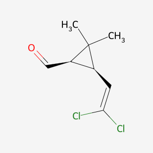 CC1(C)[C@H](C=O)[C@@H]1C=C(Cl)Cl